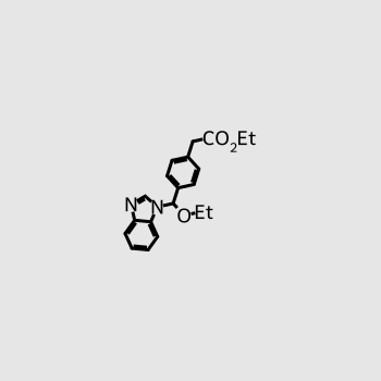 CCOC(=O)Cc1ccc(C(OCC)n2cnc3ccccc32)cc1